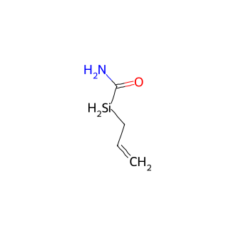 C=CC[SiH2]C(N)=O